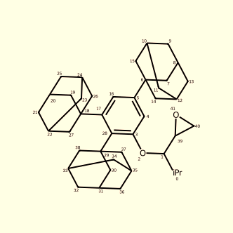 CC(C)C(Oc1cc(C23CC4CC(CC(C4)C2)C3)cc(C23CC4CC(CC(C4)C2)C3)c1C12CC3CC(CC(C3)C1)C2)C1CO1